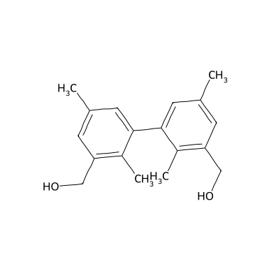 Cc1cc(CO)c(C)c(-c2cc(C)cc(CO)c2C)c1